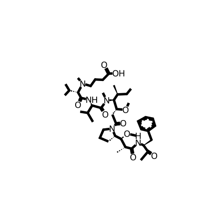 CC[C@H](C)[C@@H]([C@@H](CC(=O)N1CCC[C@H]1[C@H](OC)[C@@H](C)C(=O)N[C@@H](Cc1ccccc1)C(C)=O)OC)N(C)C(=O)[C@@H](NC(=O)[C@H](C(C)C)N(C)CCCC(=O)O)C(C)C